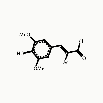 COc1cc(/C=C(\C(C)=O)C(=O)Cl)cc(OC)c1O